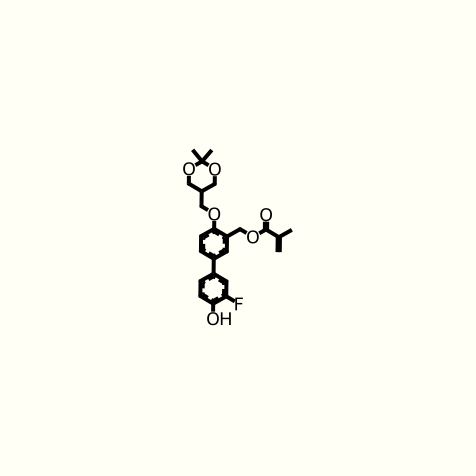 C=C(C)C(=O)OCc1cc(-c2ccc(O)c(F)c2)ccc1OCC1COC(C)(C)OC1